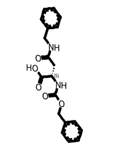 O=C(C[C@H](NC(=O)OCc1ccccc1)C(=O)O)NCc1ccccc1